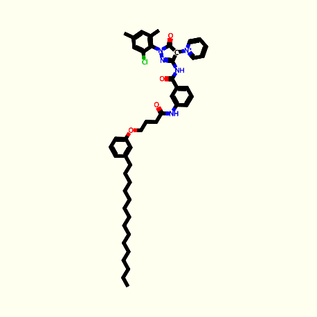 CCCCCCCCCCCCCCCc1cccc(OCCCC(=O)Nc2cccc(C(=O)Nc3nn(-c4c(C)cc(C)cc4Cl)c(=O)[c-]3-[n+]3ccccc3)c2)c1